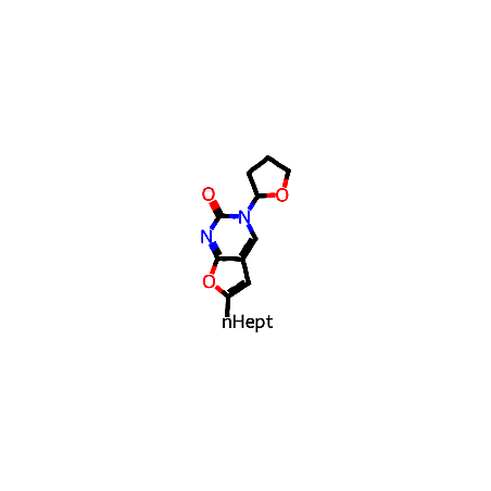 CCCCCCCc1cc2cn(C3CCCO3)c(=O)nc2o1